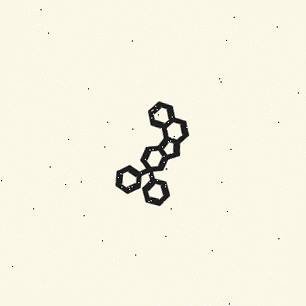 [C]1=C2C=c3ccc4ccccc4c3=C2C=CC1(c1ccccc1)c1ccccc1